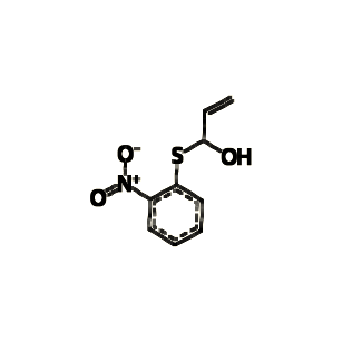 C=CC(O)Sc1ccccc1[N+](=O)[O-]